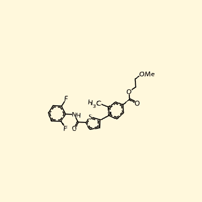 COCCOC(=O)c1ccc(-c2ccc(C(=O)Nc3c(F)cccc3F)s2)c(C)c1